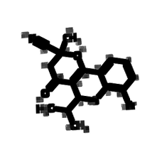 CC(C)C1Sc2c(Br)cccc2C2=C1C(=O)CC(C)(C#N)O2